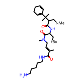 CNCC(C(=O)NC(CC(C)(C)C)C(=O)N(C)C/C=C(\C)C(=O)NCCCCCN)C(C)(C)C1=CCCC=C1